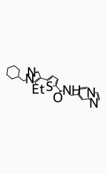 CCc1c(-c2ccc(C(=O)NCc3ccn4ccnc4c3)s2)cnn1CC1CCCCC1